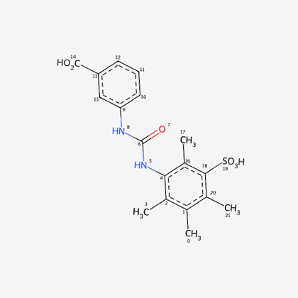 Cc1c(C)c(NC(=O)Nc2cccc(C(=O)O)c2)c(C)c(S(=O)(=O)O)c1C